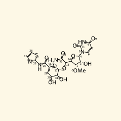 CO[C@H]1[C@@H](O)[C@H](n2ccc(=O)[nH]c2=O)O[C@@H]1[C@@H](O[C@H]1OC(C(=O)Nc2nccs2)=C[C@H](O)[C@@H]1O)C(N)=O